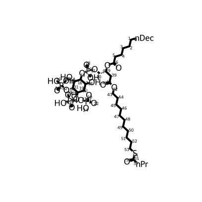 CCCCCCCCCCCCCCCC(=O)O[C@@H](COP(=O)(O)OC1C(O)[C@H](OP(=O)(O)O)C(OP(=O)(O)O)[C@H](OP(=O)(O)O)[C@@H]1O)CC(=O)OCCCCCCCCCCCSC(=O)CCC